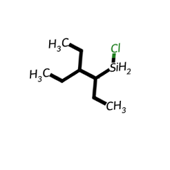 CC[C]([SiH2]Cl)C(CC)CC